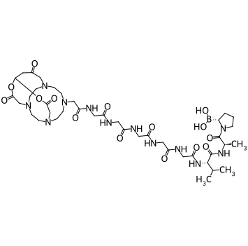 CC(C)[C@H](NC(=O)CNC(=O)CNC(=O)CNC(=O)CNC(=O)CNC(=O)CN1CCN2CCN3CCN(CC1)CC(=O)OC(CC(=O)C2)OC(=O)C3)C(=O)N[C@H](C)C(=O)N1CCC[C@H]1B(O)O